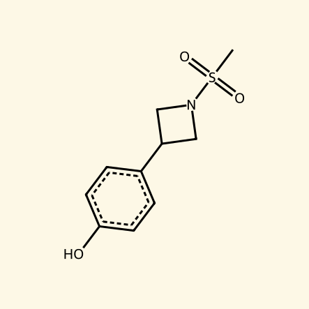 CS(=O)(=O)N1CC(c2ccc(O)cc2)C1